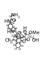 COC1C(CO)OC(Oc2cc3c(c4ccccc24)C(CCl)CN3C(=O)c2cc3cc(NC(=O)CN)ccc3[nH]2)C(O)C1O